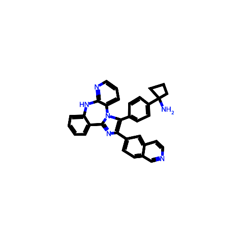 NC1(c2ccc(-c3c(-c4ccc5cnccc5c4)nc4n3-c3cccnc3Nc3ccccc3-4)cc2)CCC1